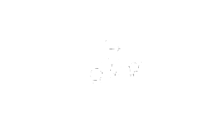 CCC(OCC1c2cccn2CCN1S(=O)(=O)c1c(C)cc(OC)cc1C)C(=O)O